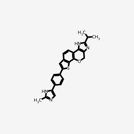 Cc1ncc(-c2ccc(-c3cc4ccc5c(c4s3)OCc3nc(C(C)C)[nH]c3-5)cc2)[nH]1